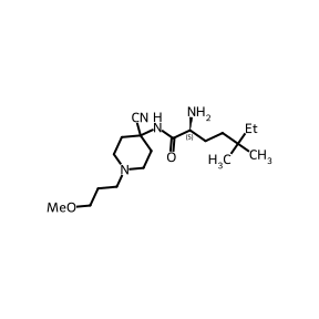 CCC(C)(C)CC[C@H](N)C(=O)NC1(C#N)CCN(CCCOC)CC1